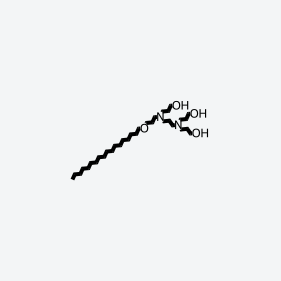 CCCCCCCCCCCCCCCCCCOCCCN(CCCO)CCCN(CCCO)CCCO